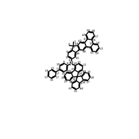 CC1(C)c2ccc(N(c3ccc(-c4ccccc4)cc3)c3cccc4c3-c3ccccc3C43c4ccccc4-c4ccccc43)cc2-c2cc3c4ccccc4c4ccccc4c3cc21